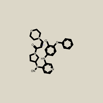 O=NN(c1ccncc1Nc1ccc(Oc2ccccc2)c(Cl)c1)C1CCN(C(=O)/C=C\N2CCOCC2)C1